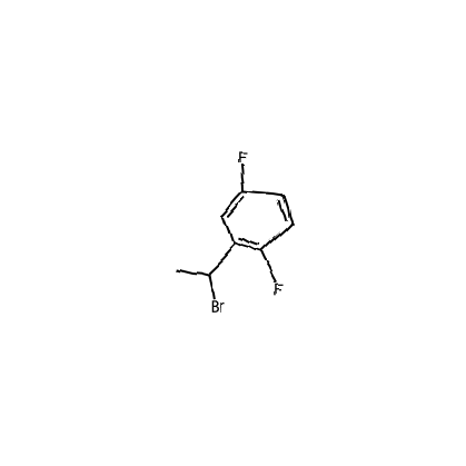 CC(Br)c1cc(F)ccc1F